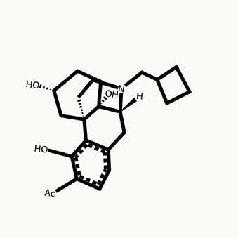 CC(=O)c1ccc2c(c1O)[C@]13CCN(CC4CCC4)[C@H](C2)[C@]1(O)CC[C@@H](O)C3